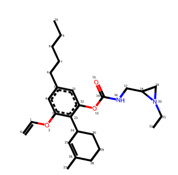 C=COc1cc(CCCCC)cc(OC(=O)NCC2CN2CC)c1C1C=C(C)CCC1